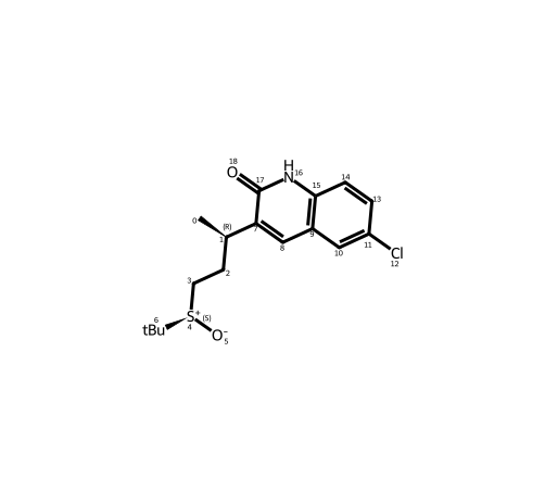 C[C@H](CC[S@@+]([O-])C(C)(C)C)c1cc2cc(Cl)ccc2[nH]c1=O